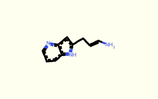 NC=CCc1cc2ncccc2[nH]1